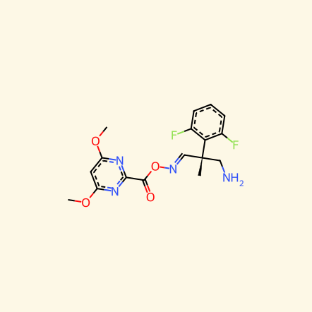 COc1cc(OC)nc(C(=O)ON=C[C@@](C)(CN)c2c(F)cccc2F)n1